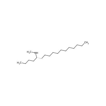 CCCCCCCCCCCC[C@H](CCCC)NC